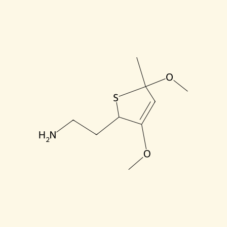 COC1=CC(C)(OC)SC1CCN